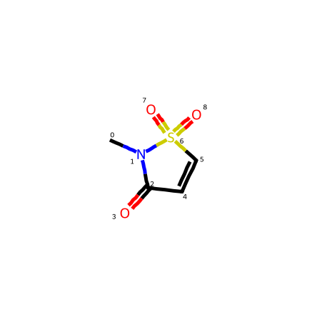 CN1C(=O)C=CS1(=O)=O